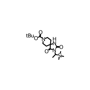 CC(N1C(=O)NC2(CCN(C(=O)OC(C)(C)C)CC2)C1=O)[Si](C)(C)C